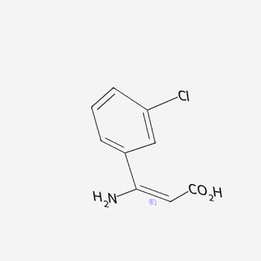 N/C(=C/C(=O)O)c1cccc(Cl)c1